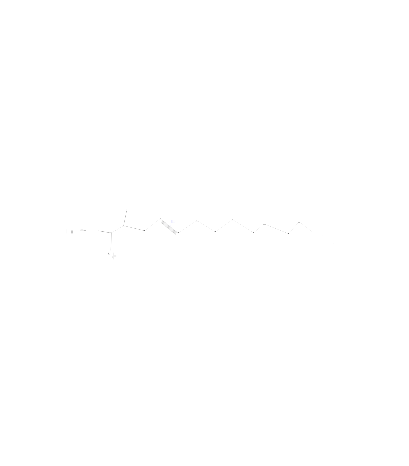 CCCCCC(C(O)C/C=C/CCCCCCCC(=O)O)[N+](=O)[O-]